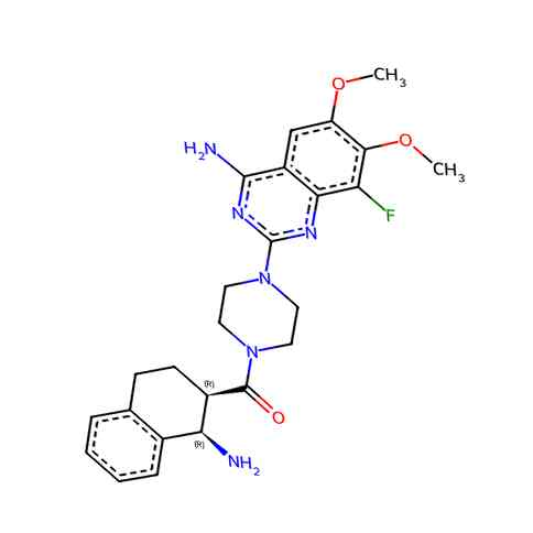 COc1cc2c(N)nc(N3CCN(C(=O)[C@@H]4CCc5ccccc5[C@@H]4N)CC3)nc2c(F)c1OC